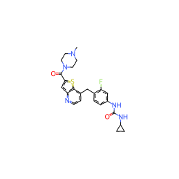 CN1CCN(C(=O)c2cc3nccc(Cc4ccc(NC(=O)NC5CC5)cc4F)c3s2)CC1